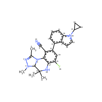 CC1=NN(C)C2N1c1c(C#N)c(-c3cccc4c3ccn4C3CC3)cc(F)c1NC2(C)C